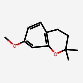 COc1ccc2c(c1)OC(C)(C)C[C]2